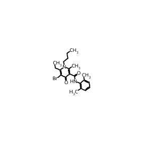 CCCCn1c(C)c(C(=O)Nc2c(C)cccc2C)c(=O)c(Br)c1CC